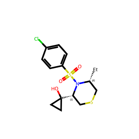 CC[C@@H]1CSC[C@H](C2(O)CC2)N1S(=O)(=O)c1ccc(Cl)cc1